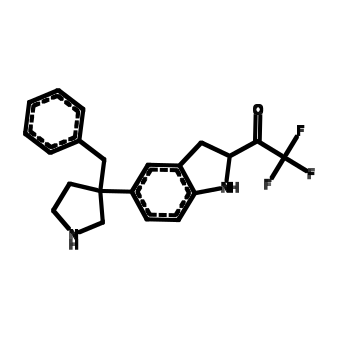 O=C(C1Cc2cc(C3(Cc4ccccc4)CCNC3)ccc2N1)C(F)(F)F